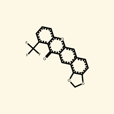 O=c1c2cc3c4c(ccc3cc2oc2cccc(C(F)(F)F)c12)OCO4